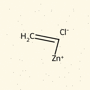 C=[CH][Zn+].[Cl-]